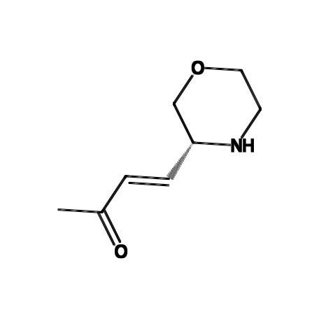 CC(=O)C=C[C@@H]1COCCN1